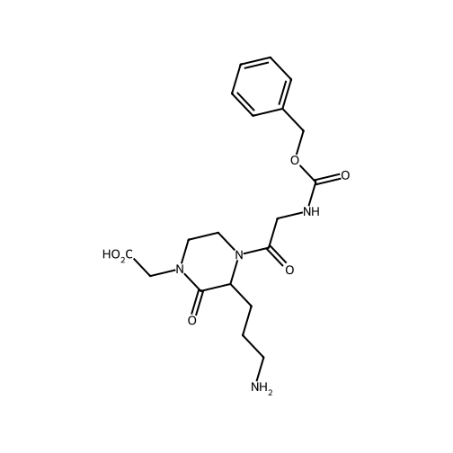 NCCCC1C(=O)N(CC(=O)O)CCN1C(=O)CNC(=O)OCc1ccccc1